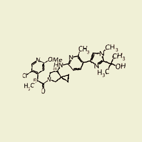 COc1cc([C@@H](C)C(=O)N2C[C@@H](Nc3ccc(-c4cn(C)c(C(C)(C)O)n4)c(C)n3)C3(CC3)C2)c(Cl)cn1